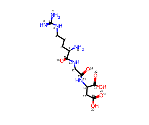 N=C(N)NCCC[C@@H](N)C(=O)NCC(=O)NC(CC(=O)O)C(=O)O